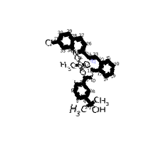 CC(C)(O)c1cccc(CC[C@H](OS(C)(=O)=O)c2ccccc2/C=C/c2ccc3ccc(Cl)cc3n2)c1